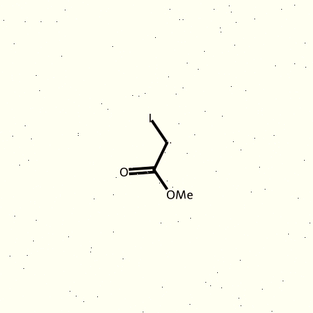 COC(=O)[CH]I